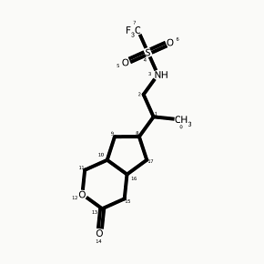 CC(CNS(=O)(=O)C(F)(F)F)C1CC2COC(=O)CC2C1